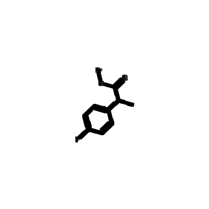 CC(C(=O)OBr)c1ccc(F)cc1